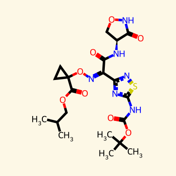 CC(C)COC(=O)C1(O/N=C(\C(=O)N[C@H]2CONC2=O)c2nsc(NC(=O)OC(C)(C)C)n2)CC1